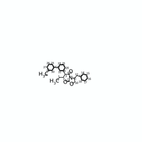 CCCC(C(=O)N1C(=O)OCC1Cc1ccccc1)c1cccc(-c2cccc(C)c2)c1